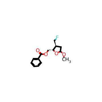 COC1C[C@H](CF)[C@@H](COC(=O)c2ccccc2)O1